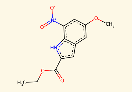 CCOC(=O)c1cc2cc(OC)cc([N+](=O)[O-])c2[nH]1